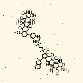 CN(C)[C@@H]1C(O)=C(C(N)=O)C(=O)[C@@]2(O)C(O)=C3C(=O)c4c(O)ccc(-c5ccc(/N=C\NC(C)(C)CCC(C)(C)c6cc(-c7cc8ccccc8cn7)c7c(c6O)C(=O)C6=C(O)[C@]8(O)C(=O)C(C(N)=O)=C(O)[C@@H](N(C)C)[C@@H]8C[C@@H]6C7)cc5)c4C[C@H]3C[C@@H]12